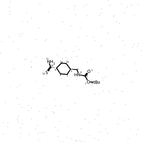 CC(C)(C)OC(=O)NC[C@H]1CC[C@H](C(N)=S)CC1